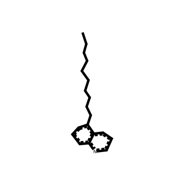 CCCCCCCCCCc1cccc2nc[c]cc12